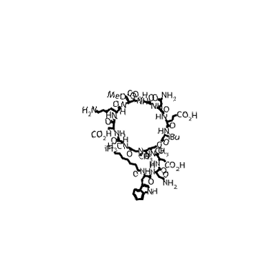 CCC(C)C1NC(=O)C(CCC(=O)O)NC(=O)C(CC(N)=O)NC(=O)CNC(=O)C(C(OC)C(=O)O)NC(=O)C(CCCCN)NC(=O)C(CC(=O)O)NC(=O)C(C)NC(=O)CN(C)C(=O)C(NC(=O)C(CC(=O)O)NC(=O)C(CC(N)=O)NC(=O)C(Cc2c[nH]c3ccccc23)NC(=O)CCCCCCC(C)C)C(C)OC1=O